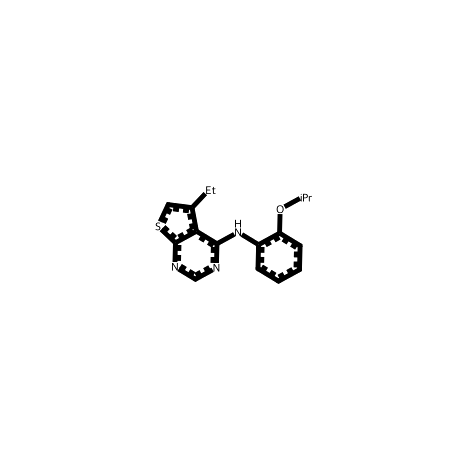 CCc1csc2ncnc(Nc3ccccc3OC(C)C)c12